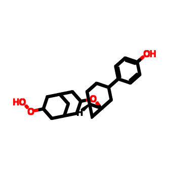 OOC1CC2CC(C1)CC(O[C@]13CC(c4ccc(O)cc4)CC[C@H]1C3)C2